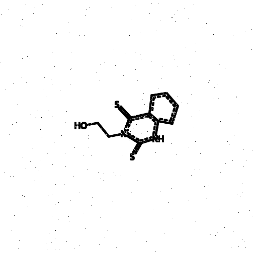 OCCn1c(=S)[nH]c2ccccc2c1=S